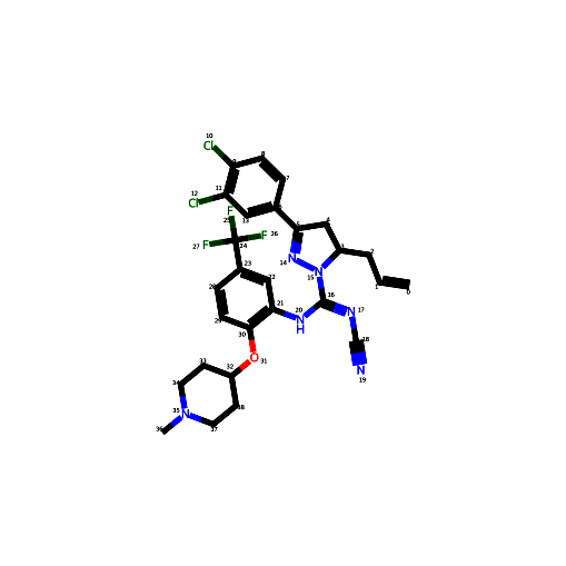 C=CCC1[CH]C(c2ccc(Cl)c(Cl)c2)=NN1C(=NC#N)Nc1cc(C(F)(F)F)ccc1OC1CCN(C)CC1